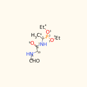 CCOP(OCC)C(C)NC(=O)CNC=O